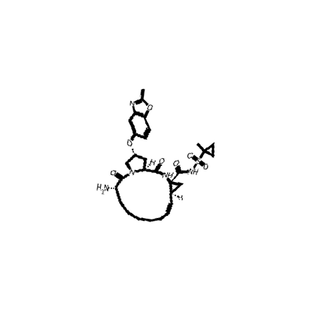 Cc1nc2cc(O[C@@H]3C[C@H]4C(=O)N[C@]5(C(=O)NS(=O)(=O)C6(C)CC6)C[C@H]5/C=C\CCCCC[C@H](N)C(=O)N4C3)ccc2o1